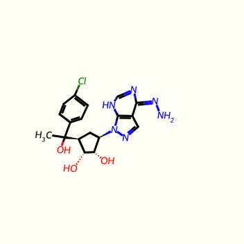 CC(O)(c1ccc(Cl)cc1)[C@H]1C[C@@H](n2ncc3/c(=N\N)nc[nH]c32)[C@H](O)[C@@H]1O